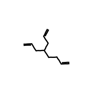 C=CCC[C](CC=C)CC=C